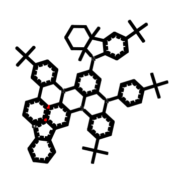 CC(C)(C)c1ccc(N2c3ccc(C(C)(C)C)cc3B3c4cc5c(cc4N(c4ccc(C(C)(C)C)cc4-c4ccccc4)c4cc(N6c7ccc(C(C)(C)C)cc7C7(C)CCCCC67C)cc2c43)oc2ccccc25)cc1